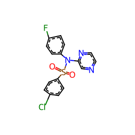 O=S(=O)(c1ccc(Cl)cc1)N(c1ccc(F)cc1)c1cnccn1